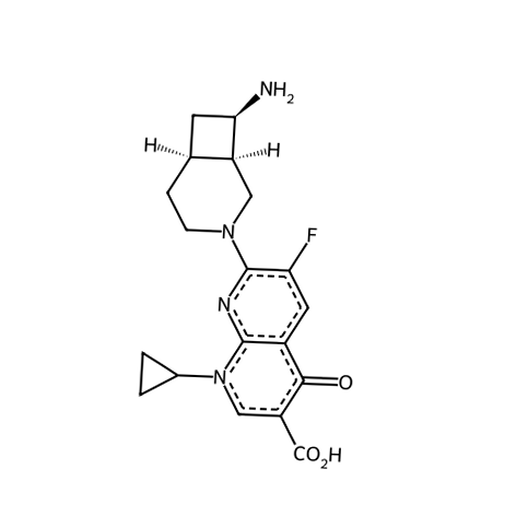 N[C@@H]1C[C@@H]2CCN(c3nc4c(cc3F)c(=O)c(C(=O)O)cn4C3CC3)C[C@@H]21